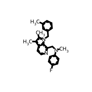 Cc1cccc(Cn2c(C)c(C)c3ccnc(CN(C)c4ccc(F)cc4)c32)c1